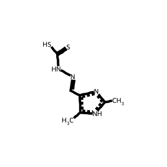 Cc1nc(C=NNC(=S)S)c(C)[nH]1